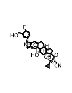 C[C@]12Cc3cnn(-c4ccc(F)c(CO)c4)c3C=C1CC[C@@H]1[C@@H]2[C@@H](O)C[C@@]2(C)[C@H]1CC[C@]2(OC(=O)C1CC1)C(=O)OCC#N